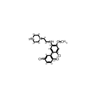 COc1cc(Cl)c(-c2cc(Cl)ccc2Cl)cc1NCCN1CCNCC1